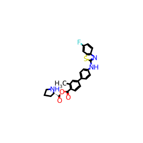 Cc1cc(-c2ccc(Nc3nc4ccc(F)cc4s3)cc2)ccc1C(=O)OC(=O)[C@@H]1CCCN1